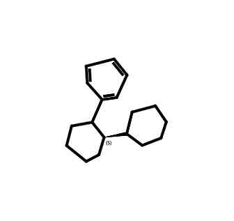 c1ccc([C]2CCCC[C@@H]2C2CCCCC2)cc1